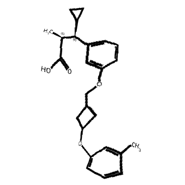 Cc1cccc(OC2CC(COc3cccc([C@H](C4CC4)[C@H](C)C(=O)O)c3)C2)c1